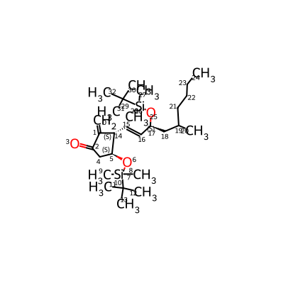 C=C1C(=O)C[C@H](O[Si](C)(C)C(C)(C)C)[C@H]1C=C[C@H](CC(C)CCCC)O[Si](C)(C)C(C)(C)C